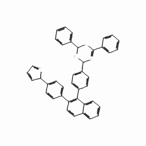 C1=CC(c2ccc(-c3ccc4ccccc4c3-c3ccc(C4N=C(c5ccccc5)NC(c5ccccc5)N4)cc3)cc2)N=C1